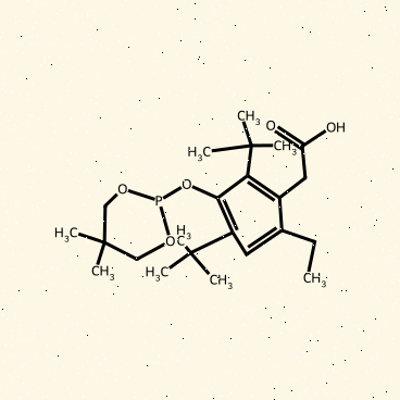 CCc1cc(C(C)(C)C)c(OP2OCC(C)(C)CO2)c(C(C)(C)C)c1CC(=O)O